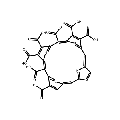 O=C(O)C1=CC2=CC3=NC(=CC4=NC(=C(C(=O)O)C5=NC(=C(C(=O)O)C1=N2)C(C(=O)O)=C5C(=O)O)C(C(=O)O)=C4C(=O)O)C=C3